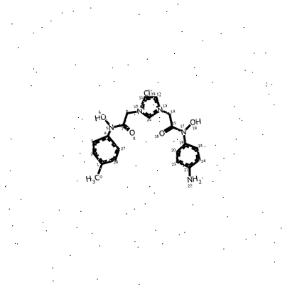 Cc1ccc(N(O)C(=O)C[n+]2ccn(CC(=O)N(O)c3ccc(N)cc3)c2)cc1.[Cl-]